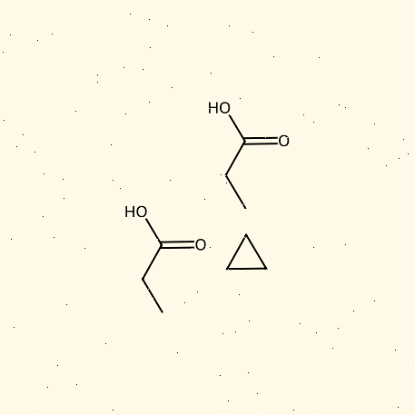 C1CC1.CCC(=O)O.CCC(=O)O